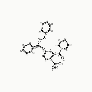 O=C(O)c1ccccc1C(=O)c1ccccc1.O=C(OCc1ccccc1)c1ccccc1